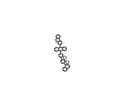 c1ccc2c(c1)ccc1oc3c(ccc4c5ccc(-c6c7ccccc7c(-c7ccc8c(c7)sc7ccccc78)c7ccccc67)cc5oc43)c12